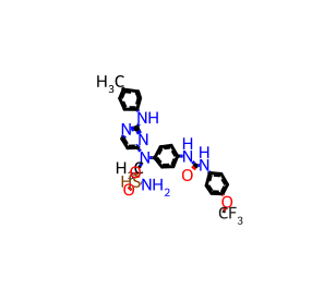 Cc1ccc(Nc2nccc(N(C)c3ccc(NC(=O)Nc4ccc(OC(F)(F)F)cc4)cc3)n2)cc1.N[SH](=O)=O